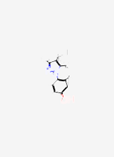 Cc1cc(O)ccc1-n1nc(C)c(C)c1C